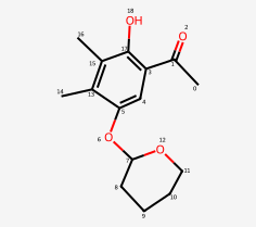 CC(=O)c1cc(OC2CCCCO2)c(C)c(C)c1O